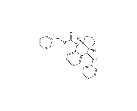 O=C(OCc1ccccc1)N1c2ccccc2[C@H](Nc2ccccc2)[C@H]2CCC[C@H]21